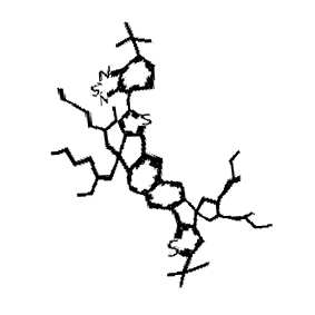 CCCCC(CC)CC1(CC(CC)CCCC)c2cc3cc4c(cc3cc2-c2sc(-c3ccc(C(C)(C)C)c5nsnc35)cc21)C(CC(CC)CCCC)(CC(CC)CCCC)c1cc(C(C)(C)C)sc1-4